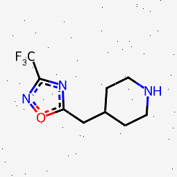 FC(F)(F)c1noc(CC2CCNCC2)n1